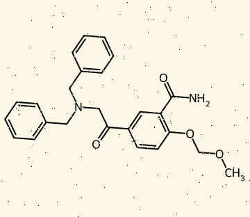 COCOc1ccc(C(=O)CN(Cc2ccccc2)Cc2ccccc2)cc1C(N)=O